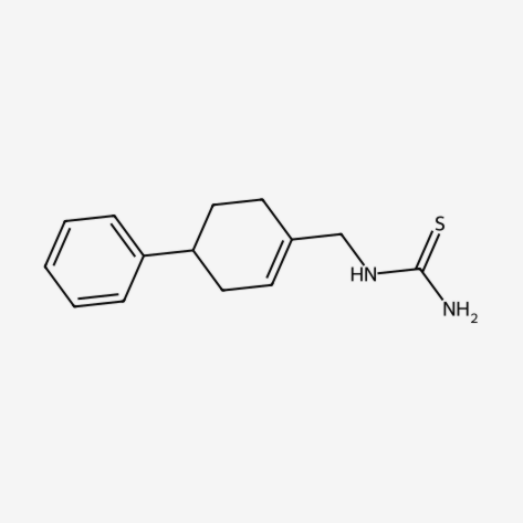 NC(=S)NCC1=CCC(c2ccccc2)CC1